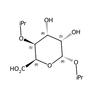 CC(C)O[C@@H]1O[C@@H](C(=O)O)[C@@H](OC(C)C)[C@H](O)[C@@H]1O